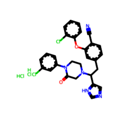 Cl.Cl.N#Cc1ccc(CC(c2cnc[nH]2)N2CCN(c3cccc(Cl)c3)C(=O)C2)cc1Oc1ccccc1Cl